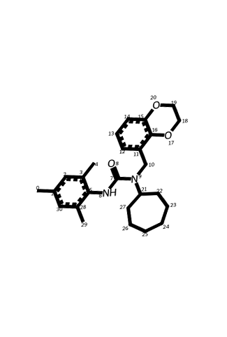 Cc1cc(C)c(NC(=O)N(Cc2cccc3c2OCCO3)C2CCCCCC2)c(C)c1